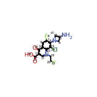 C[C@@H]1[C@@H](N)CN1c1c(F)cc2c(=O)c(C(=O)O)cn(CCF)c2c1Cl